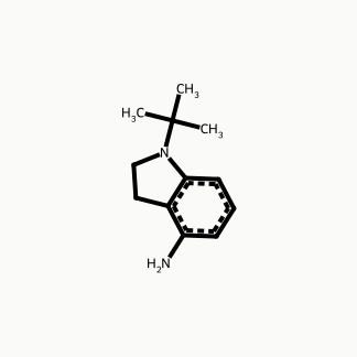 CC(C)(C)N1CCc2c(N)cccc21